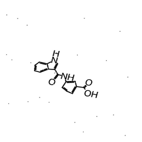 O=C(O)c1cccc(NC(=O)c2c[nH]c3ccccc23)c1